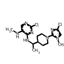 CNc1cnc(Cl)nc1NC(C)C1CCN(c2nc(Cl)cn2C)CC1